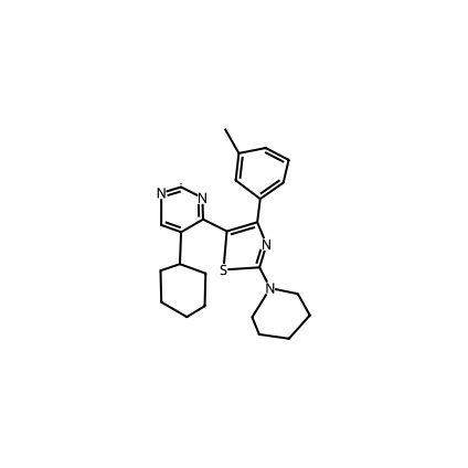 Cc1cccc(-c2nc(N3CCCCC3)sc2-c2n[c]ncc2C2CCCCC2)c1